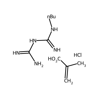 C=C(C)C(=O)O.CCCCNC(=N)NC(=N)N.Cl